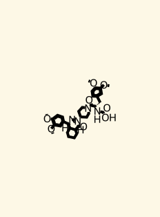 COc1ccc(C[C@H](NC(=O)O)C(=O)N2CCC(N3N=C(c4ccc(OC)c(OC)c4)[C@H]4CCCC[C@H]4C3=O)CC2)cc1OC